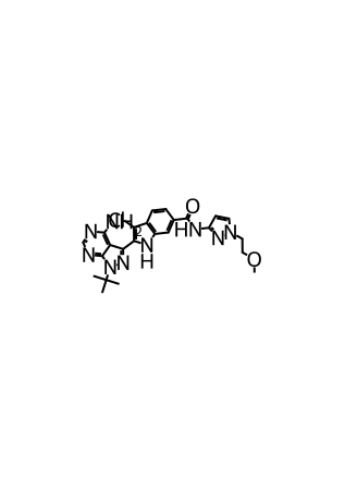 COCCn1ccc(NC(=O)c2ccc3c(Cl)c(-c4nn(C(C)(C)C)c5ncnc(N)c45)[nH]c3c2)n1